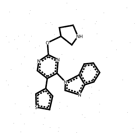 c1ccc2c(c1)ncn2-c1nc(OC2CCNC2)ncc1-c1ccsc1